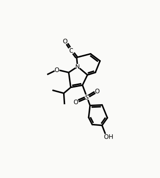 COC1C(C(C)C)=C(S(=O)(=O)c2ccc(O)cc2)C2=CC=CC(=C=O)N21